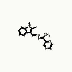 Cc1[nH]c2ccccc2c1C=NN=C(N)c1cnccn1